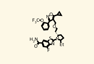 CCC1CC[C@@H](CCOCc2c(-c3ccccc3OC(F)(F)F)noc2C2CC2)N1c1nc2c(F)cc(C(N)=O)cc2s1